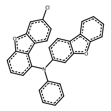 Clc1ccc2c(c1)oc1cccc(N(c3ccccc3)c3ccc4c(c3)oc3ccccc34)c12